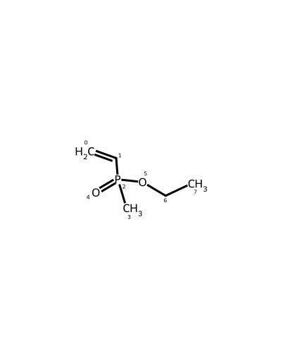 C=CP(C)(=O)OCC